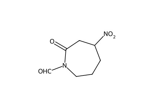 O=CN1CCCC([N+](=O)[O-])CC1=O